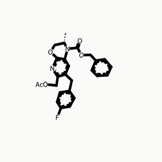 CC(=O)OCc1nc2c(cc1Cc1ccc(F)cc1)N(C(=O)OCc1ccccc1)[C@@H](C)CO2